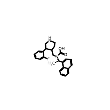 C[C@H](c1cccc2ccccc12)N(CC1CCNCC1c1ccccc1F)C(=O)O